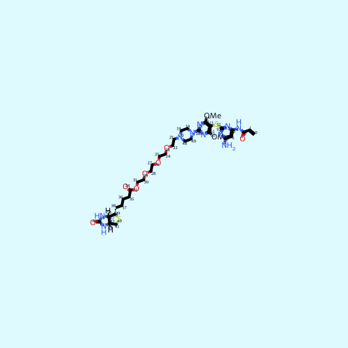 C=CC(=O)Nc1cc(N)nc(Sc2c(OC)nc(N3CCN(CCOCCOCCOCCOC(=O)CCCC[C@@H]4SC[C@@H]5NC(=O)N[C@@H]54)CC3)nc2OC)n1